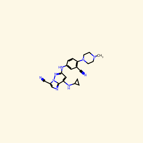 CN1CCN(c2ccc(Nc3cc(NC4CC4)c4ncc(C#N)n4n3)cc2C#N)CC1